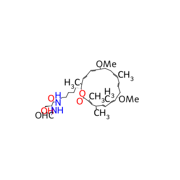 CO[C@@H]1/C=C(C)/C=C/[C@@H](C)/C=C(\C)C(=O)O[C@H](CCCCCNC(=O)[C@H](CO)NC=O)[C@@H](C)/C=C/C=C/[C@@H](OC)CC/C=C(C)\C=C\C1